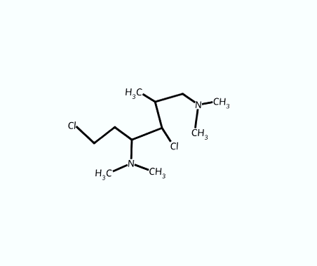 CC(CN(C)C)C(Cl)C(CCCl)N(C)C